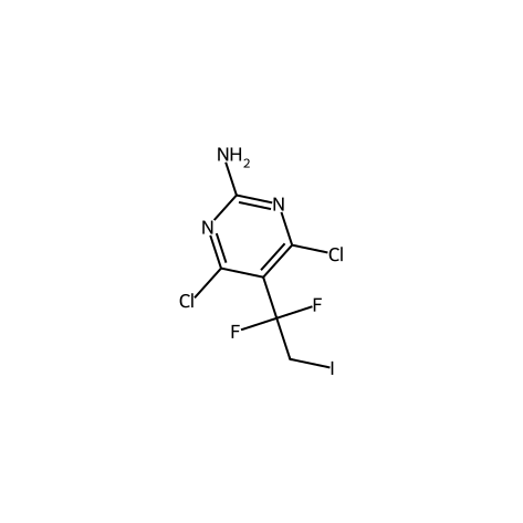 Nc1nc(Cl)c(C(F)(F)CI)c(Cl)n1